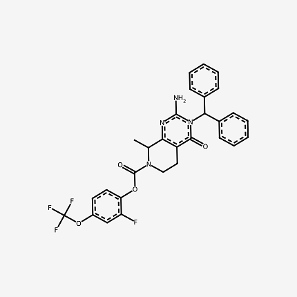 CC1c2nc(N)n(C(c3ccccc3)c3ccccc3)c(=O)c2CCN1C(=O)Oc1ccc(OC(F)(F)F)cc1F